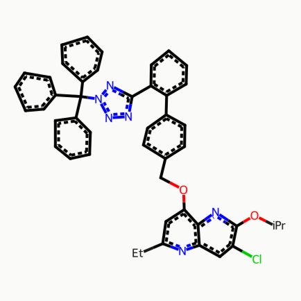 CCc1cc(OCc2ccc(-c3ccccc3-c3nnn(C(c4ccccc4)(c4ccccc4)c4ccccc4)n3)cc2)c2nc(OC(C)C)c(Cl)cc2n1